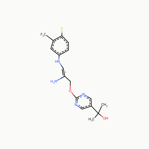 CC(C)(O)c1cnc(OC/C(N)=C/Nc2ccc(F)c(C(F)(F)F)c2)nc1